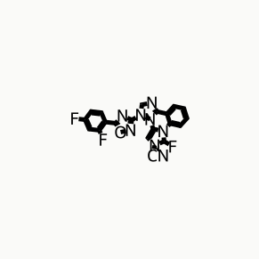 N#CN1C=C2N(c3ccccc3C3=NCN(c4noc(-c5ccc(F)cc5F)n4)N23)C1F